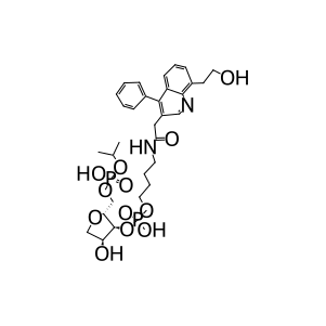 CC(C)OP(=O)(O)OC[C@H]1OC[C@H](O)[C@@H]1OP(=O)(O)OCCCCNC(=O)Cc1cnc2c(CCO)cccc2c1-c1ccccc1